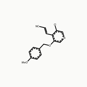 COc1ccc(COc2cncc(Cl)c2/C=C/C#N)cc1